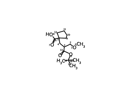 COCC(CC1(C(=O)O)CCCC1)C(=O)OC(C)(C)C